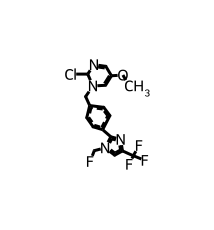 COC1=CN(Cc2ccc(-c3nc(C(F)(F)F)cn3CF)cc2)C(Cl)N=C1